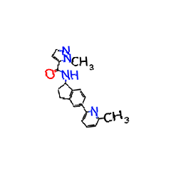 Cc1cccc(-c2ccc3c(c2)CC[C@H]3NC(=O)c2ccnn2C)n1